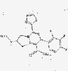 COC(=O)C1=C2CC(NSC)CN2C(c2nccs2)=NC1c1ccc(F)c(F)c1F